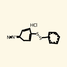 Cl.[N-]=[N+]=C1C=CC(SSc2ccccc2)=CC1